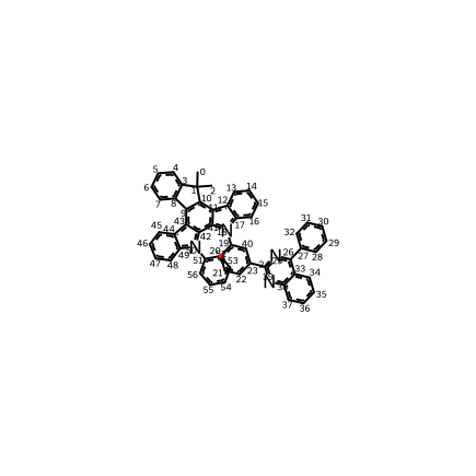 CC1(C)c2ccccc2-c2c1c1c3ccccc3n(-c3cccc(-c4nc(-c5ccccc5)c5ccccc5n4)c3)c1c1c2c2ccccc2n1-c1ccccc1